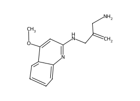 C=C(CN)CNc1cc(OC)c2ccccc2n1